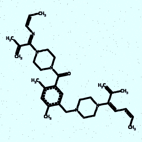 C=C(C)/C(=C\C=C/C)N1CCN(Cc2cc(C(=O)N3CCN(/C(=N/C=C\C)C(=C)C)CC3)c(C)cc2C)CC1